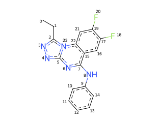 CCc1nnc2nc(Nc3ccccc3)c3cc(F)c(F)cc3n12